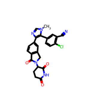 Cn1cnc(-c2ccc3c(c2)CN(C2CCC(=O)NC2=O)C3=O)c1-c1ccc(Cl)c(C#N)c1